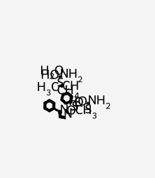 C.C#CC.CS(=O)(=O)c1ccccc1-n1nccc1-c1ccccc1.NC(O)=S.NC(O)=S.O